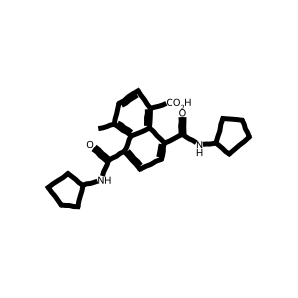 Cc1ccc(C(=O)O)c2c(C(=O)NC3CCCC3)ccc(C(=O)NC3CCCC3)c12